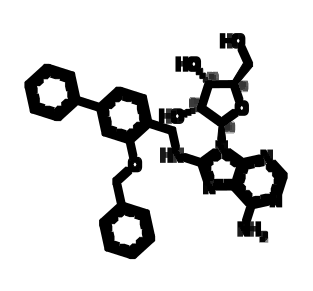 Nc1ncnc2c1nc(NCc1ccc(-c3ccccc3)cc1OCc1ccccc1)n2[C@@H]1O[C@H](CO)[C@@H](O)[C@H]1O